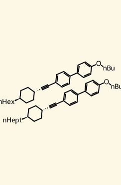 CCCCCCC[C@H]1CC[C@H](C#Cc2ccc(-c3ccc(OCCCC)cc3)cc2)CC1.CCCCCC[C@H]1CC[C@H](C#Cc2ccc(-c3ccc(OCCCC)cc3)cc2)CC1